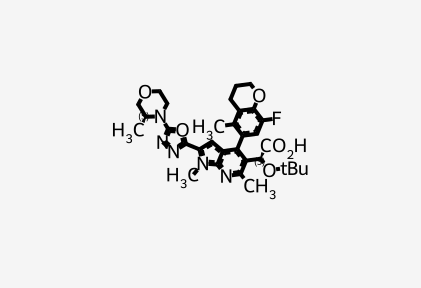 Cc1nc2c(cc(-c3nnc(N4CCOC[C@@H]4C)o3)n2C)c(-c2cc(F)c3c(c2C)CCCO3)c1[C@H](OC(C)(C)C)C(=O)O